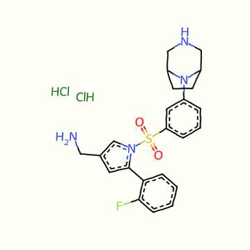 Cl.Cl.NCc1cc(-c2ccccc2F)n(S(=O)(=O)c2cccc(N3C4CCC3CNC4)c2)c1